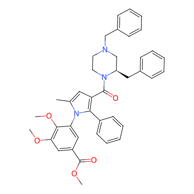 COC(=O)c1cc(OC)c(OC)c(-n2c(C)cc(C(=O)N3CCN(Cc4ccccc4)C[C@H]3Cc3ccccc3)c2-c2ccccc2)c1